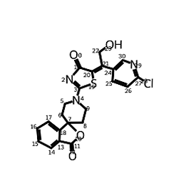 O=C1N=C(N2CCC3(CC2)OC(=O)c2ccccc23)S/C1=C(/CO)c1ccc(Cl)nc1